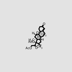 CC(=O)OCC(=O)[C@]1(OC(C)=O)[C@@]2(C)C[C@@H]3O[C@]34[C@@H](CCC3=CC(=O)CC[C@@]34C)[C@@H]2C[C@@]1(C)F